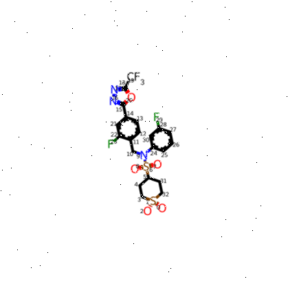 O=S1(=O)CCC(S(=O)(=O)N(Cc2ccc(-c3nnc(C(F)(F)F)o3)cc2F)c2cccc(F)c2)CC1